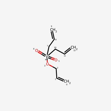 C=CC[O][V](=[O])(=[O])([CH2]C=C)[CH2]C=C